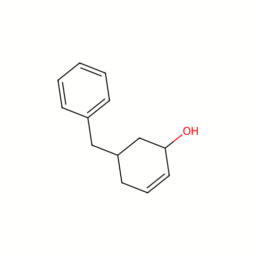 OC1C=CCC(Cc2ccccc2)C1